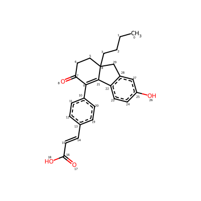 CCCCC12CCC(=O)C(c3ccc(C=CC(=O)O)cc3)=C1c1ccc(O)cc1C2